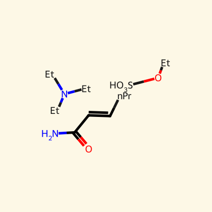 CCCC=CC(N)=O.CCN(CC)CC.CCOS(=O)(=O)O